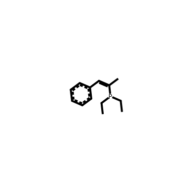 CCP(CC)C(C)=Cc1ccccc1